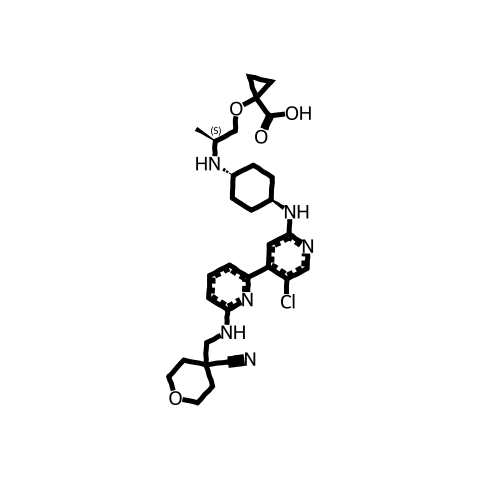 C[C@@H](COC1(C(=O)O)CC1)N[C@H]1CC[C@H](Nc2cc(-c3cccc(NCC4(C#N)CCOCC4)n3)c(Cl)cn2)CC1